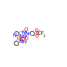 O=C1CN(Cc2ccncc2NS(=O)(=O)Nc2ccccc2)C(=O)N1c1ccc(S(=O)(=O)C(F)(F)F)cc1